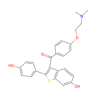 CN(C)CCOc1ccc(C(=O)c2c(-c3ccc(O)cc3)sc3cc(O)ccc23)cc1